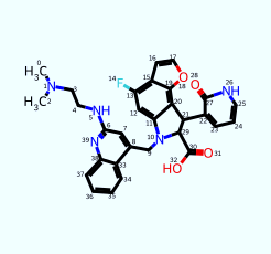 CN(C)CCNc1cc(CN2c3cc(F)c4ccoc4c3C(c3ccc[nH]c3=O)C2C(=O)O)c2ccccc2n1